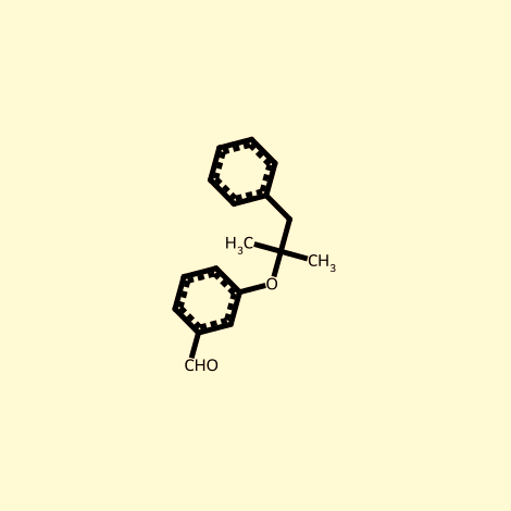 CC(C)(Cc1ccccc1)Oc1cccc(C=O)c1